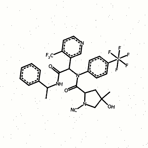 CC(NC(=O)C(c1cnccc1C(F)(F)F)N(C(=O)C1CC(C)(O)CN1C#N)c1ccc(S(F)(F)(F)(F)F)cc1)c1ccccc1